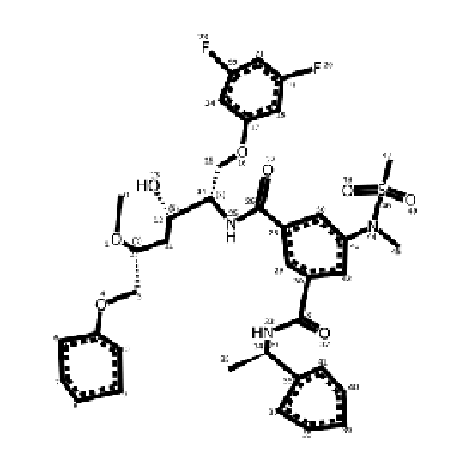 CO[C@@H](COc1ccccc1)C[C@H](O)[C@H](COc1cc(F)cc(F)c1)NC(=O)c1cc(C(=O)N[C@H](C)c2ccccc2)cc(N(C)S(C)(=O)=O)c1